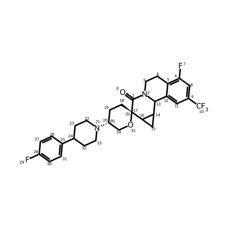 O=C1N2CCc3c(F)cc(C(F)(F)F)cc3C2C2CC2[C@@]12CC[C@@H](N1CCC(c3ccc(F)cc3)CC1)CO2